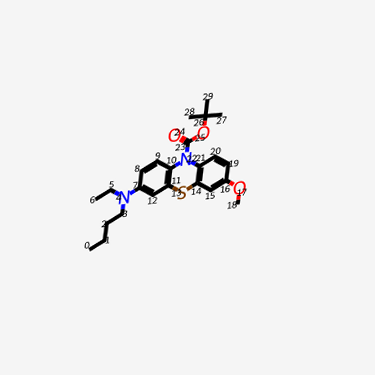 CCCCN(CC)c1ccc2c(c1)Sc1cc(OC)ccc1N2C(=O)OC(C)(C)C